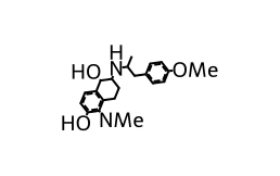 CNc1c(O)ccc2c1CCC(NC(C)Cc1ccc(OC)cc1)C2O